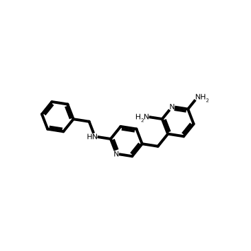 Nc1ccc(Cc2ccc(NCc3ccccc3)nc2)c(N)n1